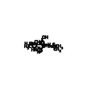 CC1(C)CC(Nc2nccc(-c3cn(COCC[Si](C)(C)C)c4cc(CO)ccc34)n2)CC(C)(C)N1